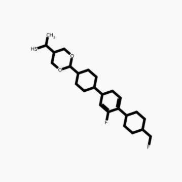 CC(S)C1COC(C2CCC(C3C=C(F)C(C4CCC(CF)CC4)=CC3)CC2)OC1